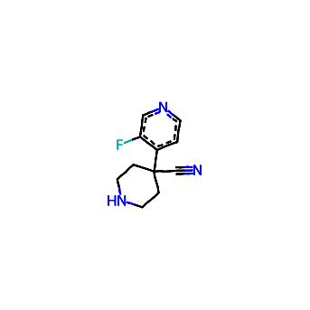 N#CC1(c2ccncc2F)CCNCC1